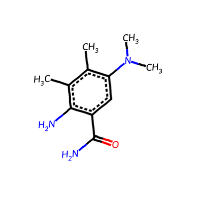 Cc1c(N(C)C)cc(C(N)=O)c(N)c1C